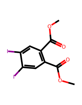 COC(=O)c1cc(I)c(I)cc1C(=O)OC